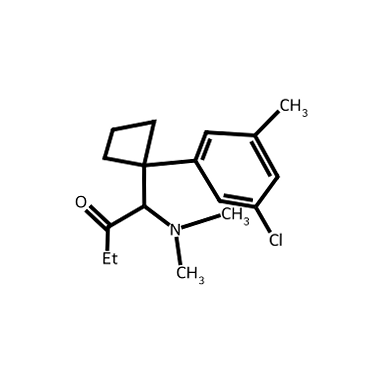 CCC(=O)C(N(C)C)C1(c2cc(C)cc(Cl)c2)CCC1